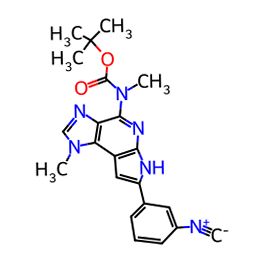 [C-]#[N+]c1cccc(-c2cc3c(nc(N(C)C(=O)OC(C)(C)C)c4ncn(C)c43)[nH]2)c1